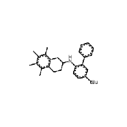 Cc1c(C)c(C)c2c(c1C)CCC(Nc1ccc(C(C)(C)C)cc1-c1ccccc1)C2